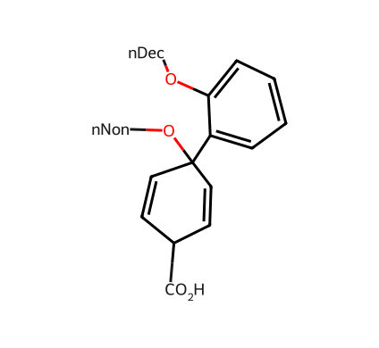 CCCCCCCCCCOc1ccccc1C1(OCCCCCCCCC)C=CC(C(=O)O)C=C1